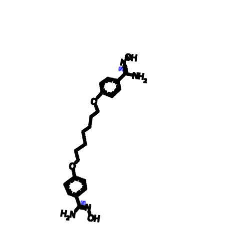 N/C(=N\O)c1ccc(OCCCCCCCOc2ccc(/C(N)=N/O)cc2)cc1